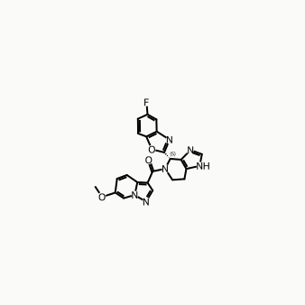 COc1ccc2c(C(=O)N3CCc4[nH]cnc4[C@H]3c3nc4cc(F)ccc4o3)cnn2c1